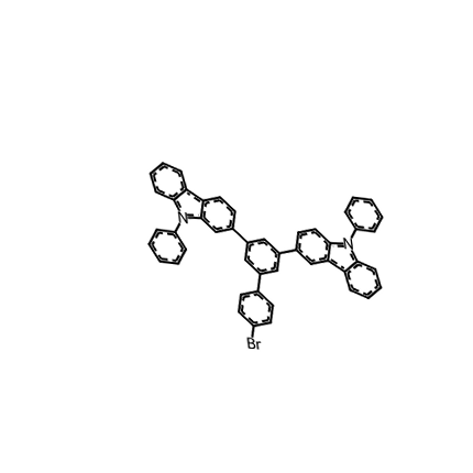 Brc1ccc(-c2cc(-c3ccc4c(c3)c3ccccc3n4-c3ccccc3)cc(-c3ccc4c5ccccc5n(-c5ccccc5)c4c3)c2)cc1